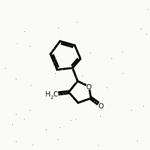 C=C1CC(=O)OC1c1ccccc1